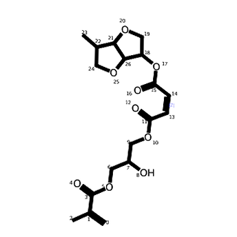 C=C(C)C(=O)OCC(O)COC(=O)/C=C\C(=O)OC1COC2C(C)COC12